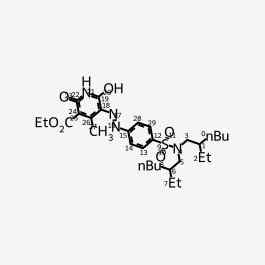 CCCCC(CC)CN(CC(CC)CCCC)S(=O)(=O)c1ccc(/N=N/c2c(O)[nH]c(=O)c(C(=O)OCC)c2C)cc1